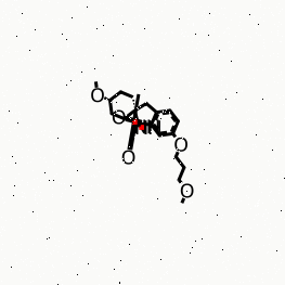 COCCCOc1ccc2c(c1)C1(NC(=O)NC1=O)[C@]1(CC[C@H](OC)CC1)C2